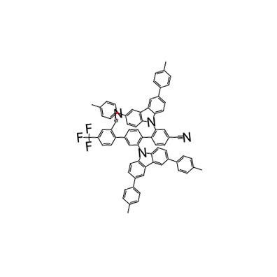 Cc1ccc(-c2ccc3c(c2)c2cc(-c4ccc(C)cc4)ccc2n3-c2cc(C#N)ccc2-c2ccc(-c3ccc(C(F)(F)F)cc3C#N)cc2-n2c3ccc(-c4ccc(C)cc4)cc3c3cc(-c4ccc(C)cc4)ccc32)cc1